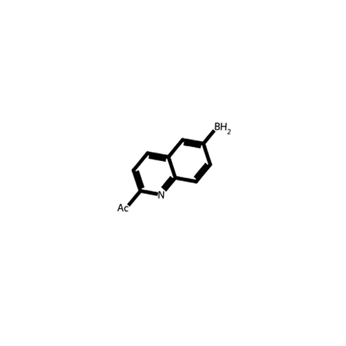 Bc1ccc2nc(C(C)=O)ccc2c1